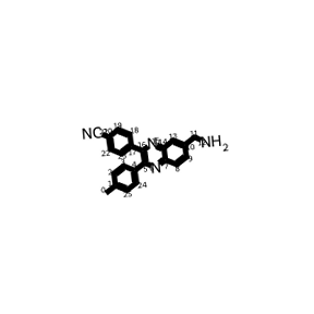 Cc1ccc(-c2nc3ccc(CN)cc3nc2-c2ccc(C#N)cc2)cc1